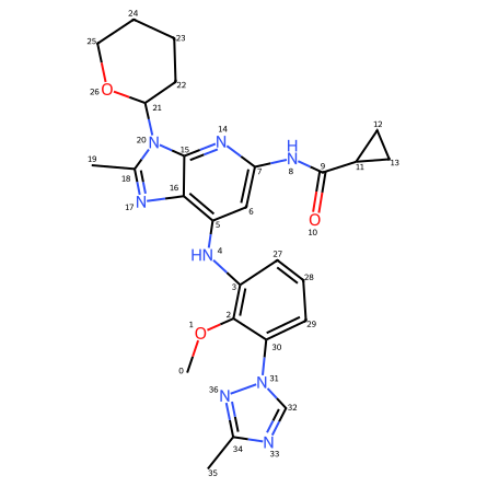 COc1c(Nc2cc(NC(=O)C3CC3)nc3c2nc(C)n3C2CCCCO2)cccc1-n1cnc(C)n1